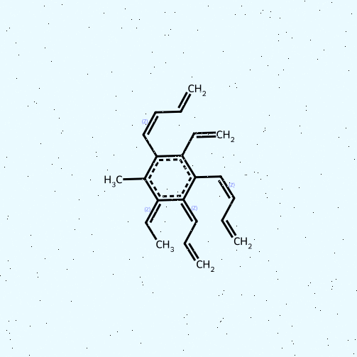 C=C/C=C\c1c(C=C)c(/C=C\C=C)c(=C/C=C)/c(=C\C)c1C